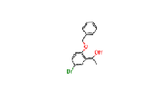 CC(O)c1cc(Br)ccc1OCc1ccccc1